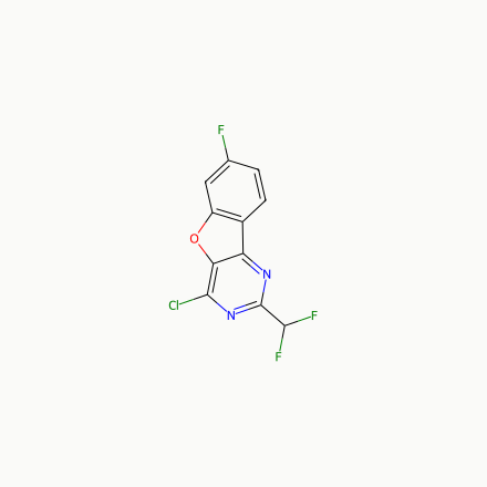 Fc1ccc2c(c1)oc1c(Cl)nc(C(F)F)nc12